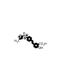 Cc1cc(NS(=O)(=O)c2ccc(C=Cc3ccc(O)c(C(=O)O)c3)cc2)no1